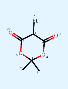 CCC1C(=O)OC(C)(C)OC1=O